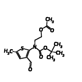 CC(=O)OCCN(C(=O)OC(C)(C)C)c1sc(C)cc1C=O